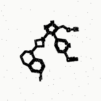 CCOCc1nnc(N2CC(N3CCCc4cc(F)ccc43)C2)n1-c1ccc(OC)nc1